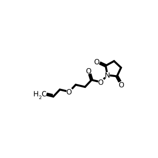 C=CCOCCC(=O)ON1C(=O)CCC1=O